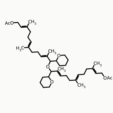 CC(=O)OCC=C(C)CCC=C(C)CCC=C(C)C(OC(C(C)=CCCC(C)=CCCC(C)=CCOC(C)=O)C1CCCCO1)C1CCCCO1